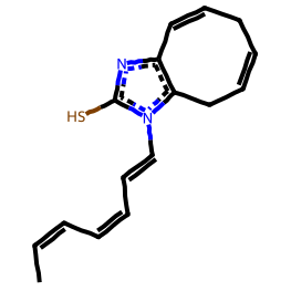 C\C=C/C=C\C=C\n1c(S)nc2c1C/C=C\C/C=C\2